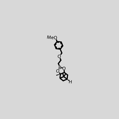 COc1ccc(COCCB2OC3C[C@@H]4CC(C4(C)C)[C@]3(C)O2)cc1